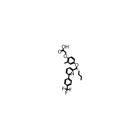 CCCC[C@@H](Oc1ccc(OCC(=O)O)c(C)c1)c1cccc(-c2ccc(C(F)(F)F)cc2)n1